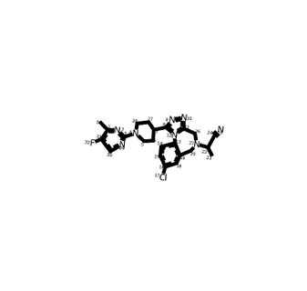 Cc1nc(N2CCC(c3nnc4n3-c3ccc(Cl)cc3CN(C(C)C#N)C4)CC2)ncc1F